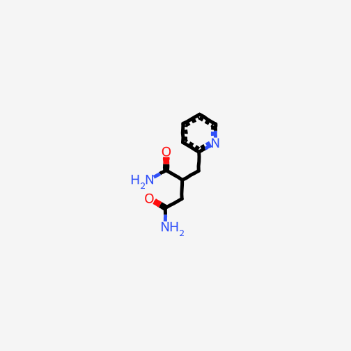 NC(=O)CC(Cc1ccccn1)C(N)=O